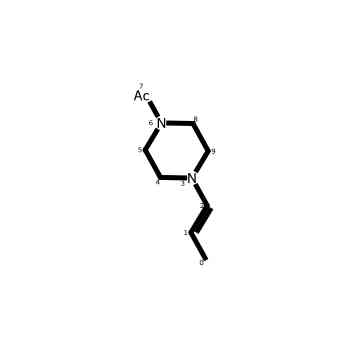 C/C=C/N1CCN(C(C)=O)CC1